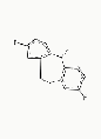 CC1c2ccc(F)cc2CCc2cc(F)ccc21